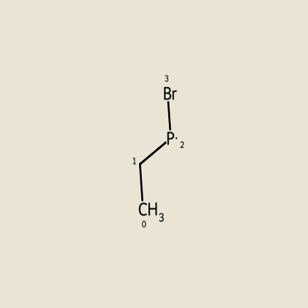 CC[P]Br